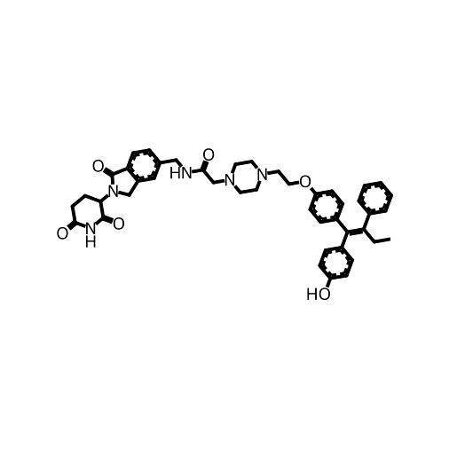 CC/C(=C(\c1ccc(O)cc1)c1ccc(OCCN2CCN(CC(=O)NCc3ccc4c(c3)CN(C3CCC(=O)NC3=O)C4=O)CC2)cc1)c1ccccc1